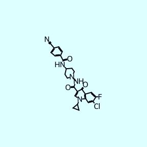 N#Cc1ccc(C(=O)NC2CCN(NC(=O)c3cn(C4CC4)c4cc(Cl)c(F)cc4c3=O)CC2)cc1